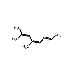 C/C=N/C=C(C)\C=C(\C)N